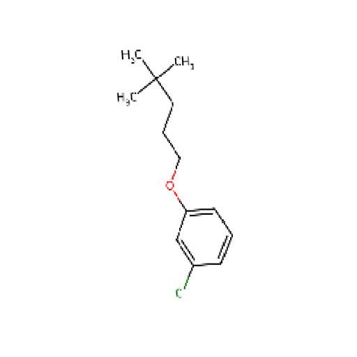 CC(C)(C)CCCOc1cccc(Cl)c1